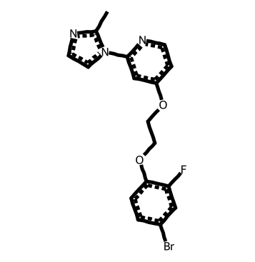 Cc1nccn1-c1cc(OCCOc2ccc(Br)cc2F)ccn1